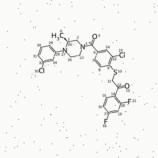 C[C@H]1CN(C(=O)c2ccc(SCC(=O)c3ccc(F)cc3F)c(Cl)c2)CCN1c1cccc(Cl)c1